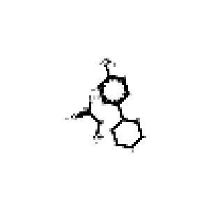 Cc1ccc(C2CCCCC2)cc1.O=C(O)CO